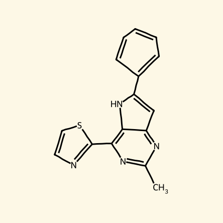 Cc1nc(-c2nccs2)c2[nH]c(-c3ccccc3)cc2n1